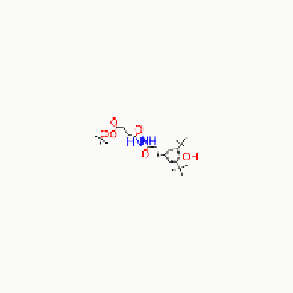 CC(C)(C)OOC(=O)CCC(=O)NNC(=O)CCc1cc(C(C)(C)C)c(O)c(C(C)(C)C)c1